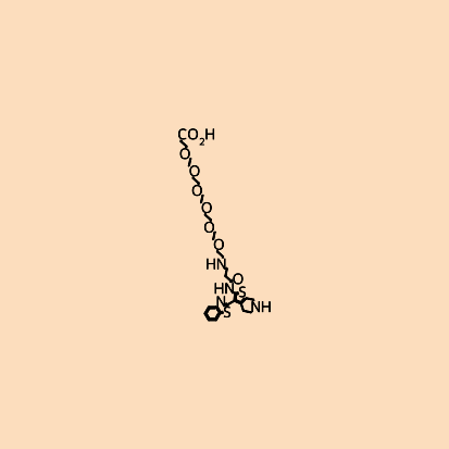 O=C(O)CCOCCOCCOCCOCCOCCOCCNCCC(=O)Nc1sc2c(c1-c1nc3ccccc3s1)CCNC2